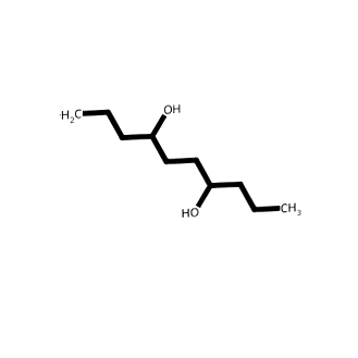 [CH2]CCC(O)CCC(O)CCC